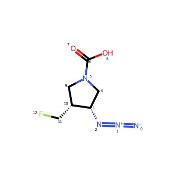 [N-]=[N+]=N[C@H]1CN(C(=O)O)C[C@H]1CF